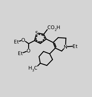 CCOC(OCC)c1cc(C2=C(C3CCC(C)CC3)CN(CC)CC2)c(C(=O)O)s1